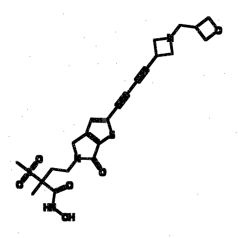 CC(CCN1Cc2cc(C#CC#CC3CN(CC4COC4)C3)sc2C1=O)(C(=O)NO)S(C)(=O)=O